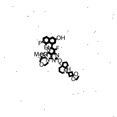 CCc1c(F)ccc2cc(O)cc(-c3nc(OC)c4c(N5CCOC[C@@](C)(O)C5)nc(OC[C@]56CCC[C@H]5N(C5CC7(C5)OCCO7)CCC6)nc4c3F)c12